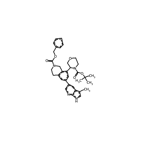 Cc1c[nH]c2ncc(-c3cc4c(c(C5COCCN5C(=O)OC(C)(C)C)c3)CN(C(=O)OCc3ccccc3)CC4)cc12